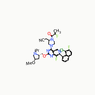 C=C(F)C(=O)N1CCN(c2nc(OC[C@@H]3C[C@@H](OC)CN3C(C)C)nc3c(F)c(-c4cccc5ccc(F)c(Cl)c45)ncc23)CC1CC#N